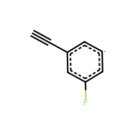 C#Cc1c[c]cc(F)c1